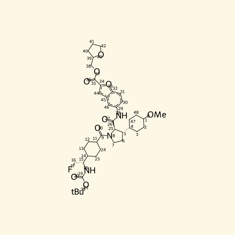 COC1CCC([C@@H]2CCN(C(=O)C3CCC([C@@H](CF)NC(=O)OC(C)(C)C)CC3)[C@H]2C(=O)Nc2ccc3oc(C(=O)OCC4CCCO4)cc3c2)CC1